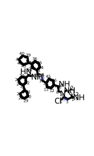 N=C(Cl)/C=C(/Cl)N(N)C[C@H](N)c1ccc(/C=N/C(NC(=N)c2cccc(-c3ccccc3)c2)c2cccc(-c3ccccc3)c2)cc1